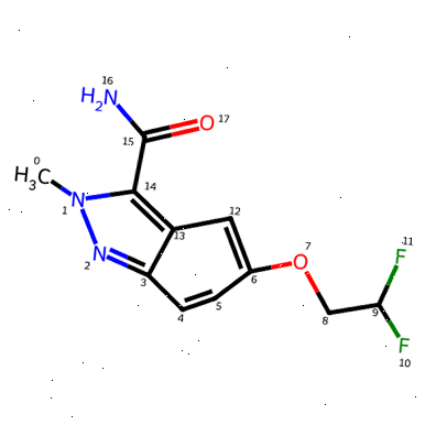 Cn1nc2ccc(OCC(F)F)cc2c1C(N)=O